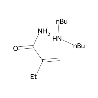 C=C(CC)C(N)=O.CCCCNCCCC